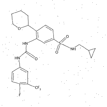 O=C(Nc1ccc(F)c(C(F)(F)F)c1)Nc1cc(S(=O)(=O)NCC2CC2)ccc1C1CCCCO1